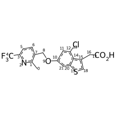 Cc1nc(C(F)(F)F)ccc1COc1cc(Cl)c2c(CC(=O)O)csc2c1